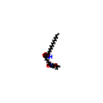 CCCCCCCCCCCCCCCC(=O)NC(CO)CCCCC(=O)N1CC[C@H](OC(C)C)C1